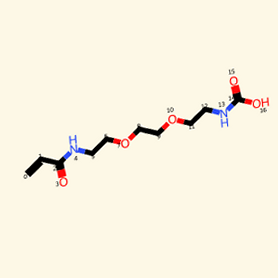 C=CC(=O)NCCOCCOCCNC(=O)O